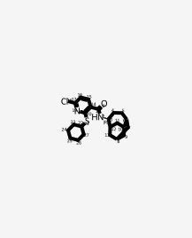 O=C(N[C@@H]1CCC2CC3CC2CC1C3)c1ccc(Cl)nc1SC1CCCCC1